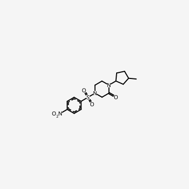 CC1CCC(N2CCN(S(=O)(=O)c3ccc([N+](=O)[O-])cc3)CC2=O)C1